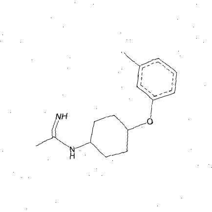 [CH2]c1cccc(OC2CCC(NC(C)=N)CC2)c1